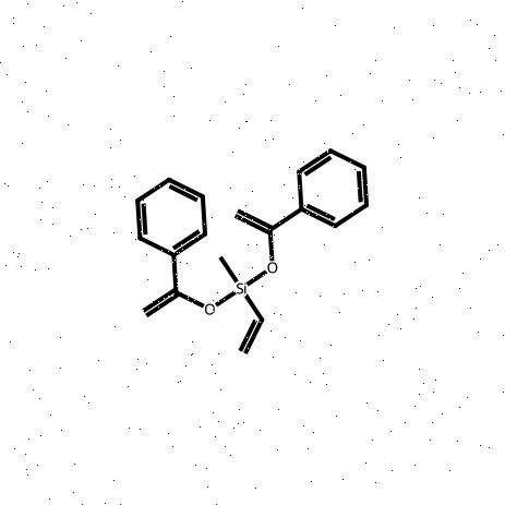 C=C[Si](C)(OC(=C)c1ccccc1)OC(=C)c1ccccc1